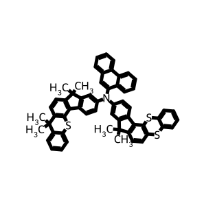 CC1(C)c2ccccc2Sc2c1ccc1c2-c2ccc(N(c3ccc4c(c3)C(C)(C)c3ccc5c(c3-4)Sc3ccccc3S5)c3cc4ccccc4c4ccccc34)cc2C1(C)C